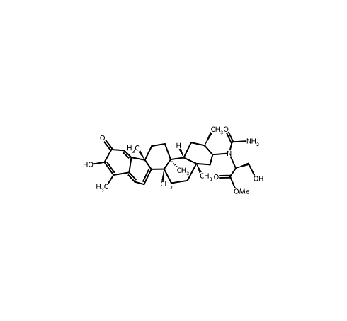 COC(=O)[C@H](CO)N(C(N)=O)C1C[C@]2(C)CC[C@]3(C)C4=CC=C5C(=CC(=O)C(O)=C5C)[C@]4(C)CC[C@@]3(C)[C@@H]2C[C@H]1C